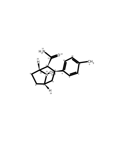 Cc1ccc([C@H]2C[C@@H]3CC[C@H]([C@H]2C(N)=O)N3C)cc1